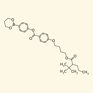 CCCC(C(=O)OCCCCOc1ccc(C(=O)Oc2ccc(B3OCCCO3)cc2)cc1)C(C)(C)C